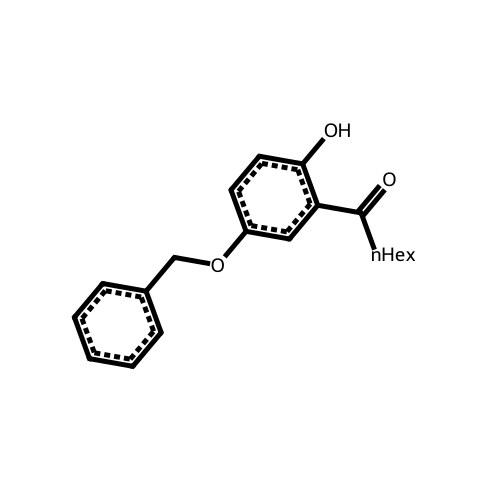 CCCCCCC(=O)c1cc(OCc2ccccc2)ccc1O